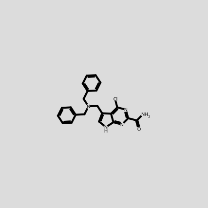 NC(=O)c1nc(Cl)c2c(CN(Cc3ccccc3)Cc3ccccc3)c[nH]c2n1